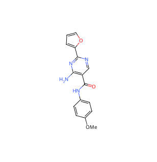 COc1ccc(NC(=O)c2cnc(-c3ccco3)nc2N)cc1